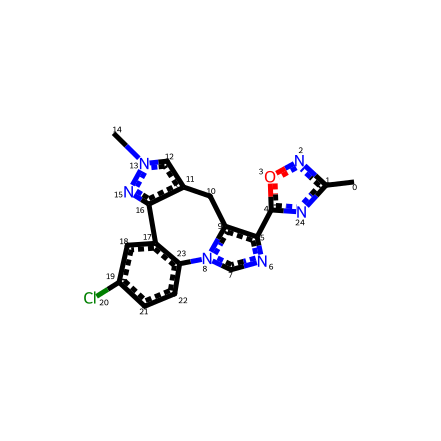 Cc1noc(-c2ncn3c2Cc2cn(C)nc2-c2cc(Cl)ccc2-3)n1